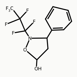 OC1CC(c2ccccc2)N(C(F)(F)C(F)(F)C(F)(F)F)O1